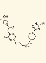 CC(C)c1noc(N2CCC([C@H]3C[C@H]3CCOc3ccc(CC(=O)N4CC(C)(O)C4)c(F)c3)CC2)n1